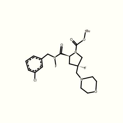 CC(C)(C)OC(=O)N1C[C@@](F)(CN2CCOCC2)C[C@H]1C(=O)N(F)Cc1cccc(Cl)c1